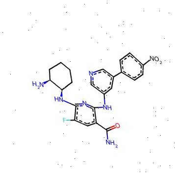 NC(=O)c1cc(F)c(N[C@@H]2CCCC[C@@H]2N)nc1Nc1cncc(-c2ccc([N+](=O)[O-])cc2)c1